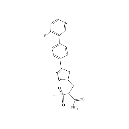 CS(=O)(=O)C(CC1CC(c2ccc(-c3cnccc3F)cc2)=NO1)C(N)=O